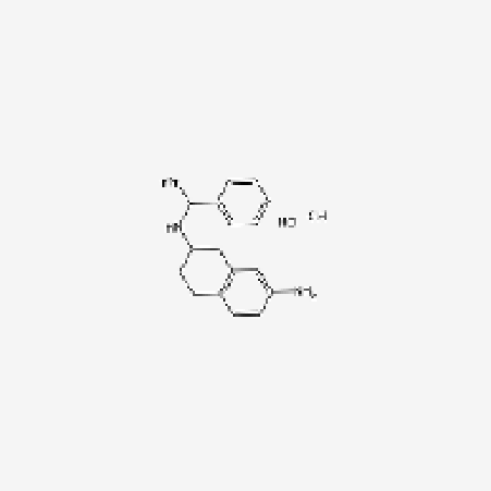 CCCC(NC1CCc2ccc(N)cc2C1)c1ccccc1.Cl.Cl